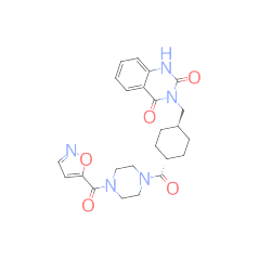 O=C(c1ccno1)N1CCN(C(=O)[C@H]2CC[C@H](Cn3c(=O)[nH]c4ccccc4c3=O)CC2)CC1